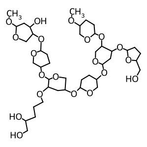 COC1CCC(OC2COC(OC3CCC(OC4COC(OC5CCC(OC6COC(OC)CC6O)OC5)C(OCCCC(O)CO)C4)OC3)CC2OC2CCC(CO)O2)OC1